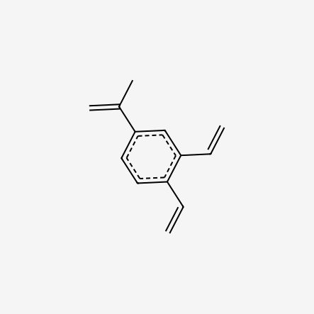 C=Cc1ccc(C(=C)C)cc1C=C